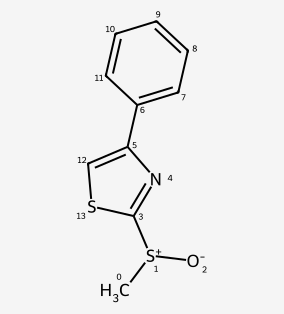 C[S+]([O-])c1nc(-c2ccccc2)cs1